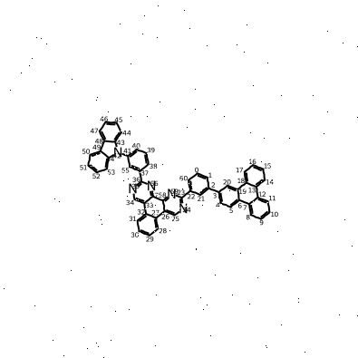 c1cc(-c2ccc3c4ccccc4c4ccccc4c3c2)cc(-c2ncc3c4ccccc4c4cnc(-c5cccc(-n6c7ccccc7c7ccccc76)c5)nc4c3n2)c1